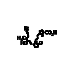 CCC#CC[C@@H](C)[C@H](O)C=C[C@H]1CCC(=O)N1CCCc1ccc(C(=O)O)s1